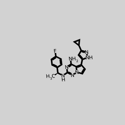 C[C@H](Nc1nc(N)c2c(-c3cc(C4CC4)n[nH]3)ccn2n1)c1ccc(F)cc1